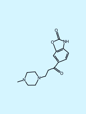 CN1CCN(CCC(=O)c2ccc3[nH]c(=O)oc3c2)CC1